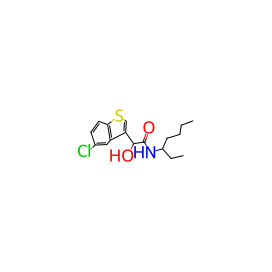 CCCCC(CC)NC(=O)C(O)c1csc2ccc(Cl)cc12